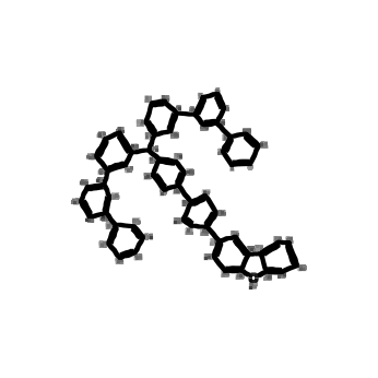 c1ccc(-c2cccc(-c3cccc(C(c4ccc(-c5ccc(-c6ccc7oc8ccccc8c7c6)cc5)cc4)c4cccc(-c5cccc(-c6ccccc6)c5)c4)c3)c2)cc1